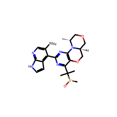 CNc1cnc2[nH]ccc2c1-c1nc2c(c(C(C)(C)[S+](C)[O-])n1)OC[C@@H]1COC[C@@H](C)N21